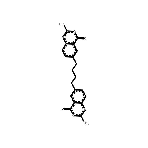 Cc1nc2ccc(CCCCc3ccc4nc(C)oc(=O)c4c3)cc2c(=O)o1